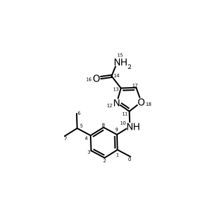 Cc1ccc(C(C)C)cc1Nc1nc(C(N)=O)co1